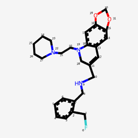 FCc1ccccc1CNCC1=Cc2cc3c(cc2N(CCN2CCCCC2)C1)OCO3